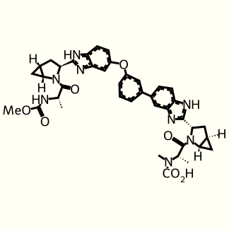 COC(=O)N[C@@H](C)C(=O)N1[C@@H]2C[C@@H]2C[C@H]1c1nc2cc(Oc3cccc(-c4ccc5[nH]c([C@@H]6C[C@H]7C[C@H]7N6C(=O)[C@H](C)N(C)C(=O)O)nc5c4)c3)ccc2[nH]1